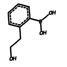 OCCc1ccccc1B(O)O